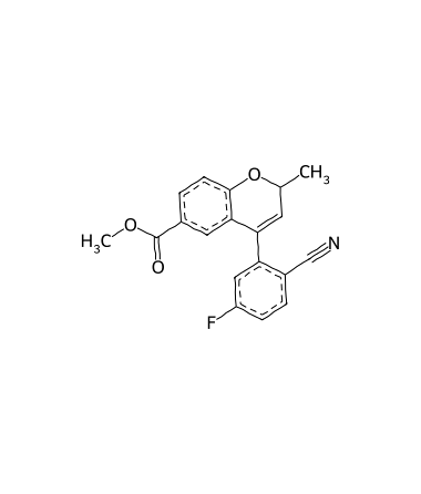 COC(=O)c1ccc2c(c1)C(c1cc(F)ccc1C#N)=CC(C)O2